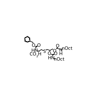 CCCCCCCCNC(=O)OCC(CSCC(NC(=O)OCc1ccccc1)C(=O)O)OC(=O)NCCCCCCCC